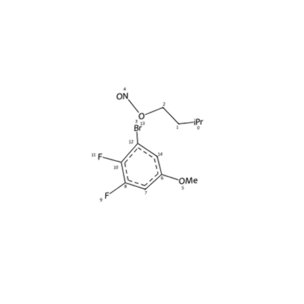 CC(C)CCON=O.COc1cc(F)c(F)c(Br)c1